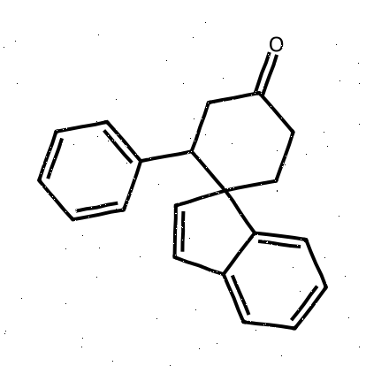 O=C1CCC2(C=Cc3ccccc32)C(c2ccccc2)C1